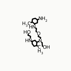 CC1CCC(N)CC1NCCOCCN(CCO)C1CC(NCCO)CCC1C